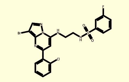 O=S(=O)(NCCNc1cc(-c2ccccc2Cl)nc2c(Br)cnn12)c1cccc(F)c1